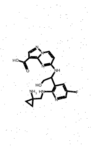 NC1(CNc2ncc(F)cc2C(CO)Nc2ccn3ncc(C(=O)O)c3n2)CC1